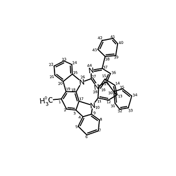 Cc1cc2c3ccccc3n(-c3ccccc3)c2c2c1c1ccccc1n2-c1nc(-c2ccccc2)cc(-c2ccccc2)n1